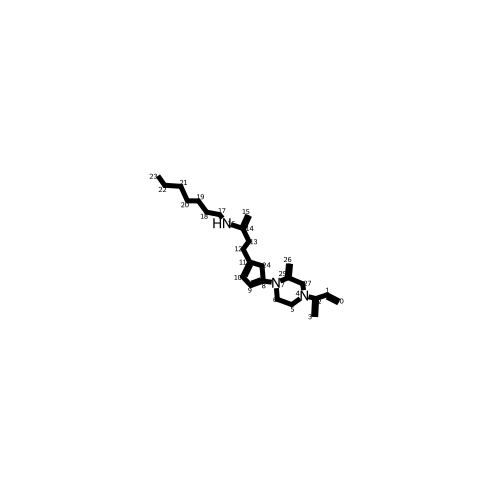 C=CC(=C)N1CCN(C2=CC=C(CCC(=C)NCCCCCCC)C2)C(=C)C1